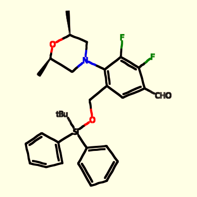 C[C@@H]1CN(c2c(CO[Si](c3ccccc3)(c3ccccc3)C(C)(C)C)cc(C=O)c(F)c2F)C[C@H](C)O1